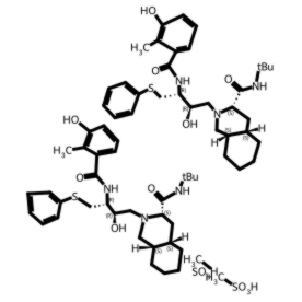 CS(=O)(=O)O.CS(=O)(=O)O.Cc1c(O)cccc1C(=O)N[C@@H](CSc1ccccc1)[C@H](O)CN1C[C@H]2CCCC[C@H]2C[C@H]1C(=O)NC(C)(C)C.Cc1c(O)cccc1C(=O)N[C@@H](CSc1ccccc1)[C@H](O)CN1C[C@H]2CCCC[C@H]2C[C@H]1C(=O)NC(C)(C)C